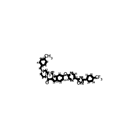 Cc1ccc(CN2CCN(C(=O)c3cc4ccc(Oc5cnc(-c6nc(-c7ccc(C(F)(F)F)cc7)no6)cn5)cc4n3C)CC2)cc1